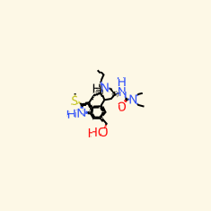 CCCN1C[C@@H](NC(=O)N(CC)CC)CC2c3cc(CO)cc4[nH]c(SC)c(c34)C[C@H]21